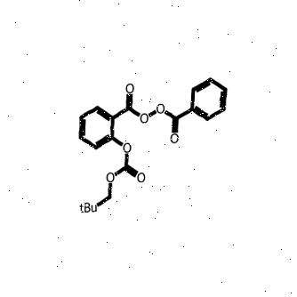 CC(C)(C)COC(=O)Oc1ccccc1C(=O)OOC(=O)c1ccccc1